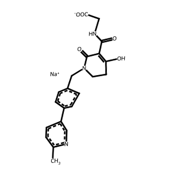 Cc1ccc(-c2ccc(CN3CCC(O)=C(C(=O)NCC(=O)[O-])C3=O)cc2)cn1.[Na+]